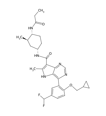 CCC(=O)N[C@@H]1CC[C@H](NC(=O)c2c(C)[nH]c3c(-c4cc(C(F)F)ccc4OCC4CC4)ncnc23)C[C@H]1C